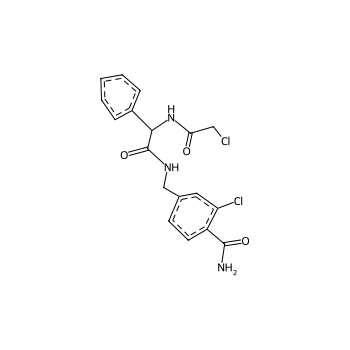 NC(=O)c1ccc(CNC(=O)C(NC(=O)CCl)c2ccccc2)cc1Cl